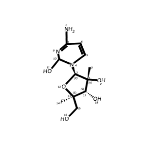 C[C@]1(O)[C@H](N2C=CC(N)=NC2O)O[C@](F)(CO)[C@H]1O